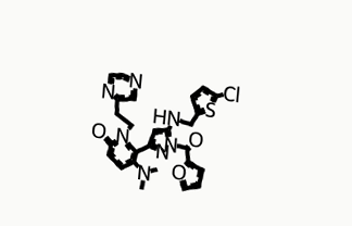 CN(C)c1ccc(=O)n(CCc2cnccn2)c1-c1cc(NCc2ccc(Cl)s2)n(C(=O)c2ccco2)n1